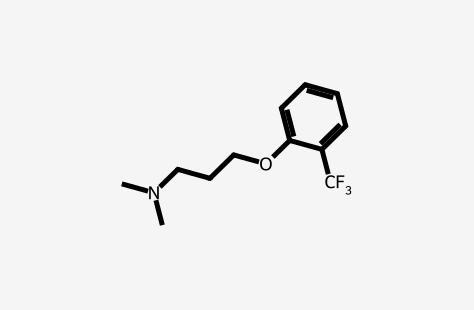 CN(C)CCCOc1ccccc1C(F)(F)F